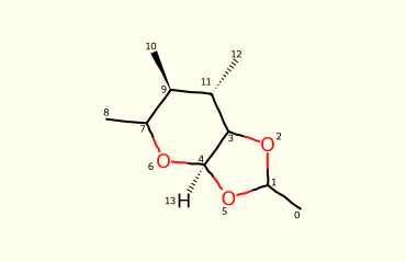 CC1OC2[C@@H](O1)OC(C)[C@@H](C)[C@@H]2C